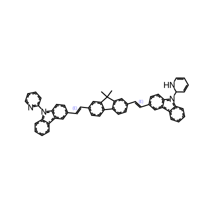 CC1(C)c2cc(/C=C/c3ccc4c(c3)c3ccccc3n4-c3ccccn3)ccc2-c2ccc(/C=C/c3ccc4c(c3)c3ccccc3n4C3C=CC=CN3)cc21